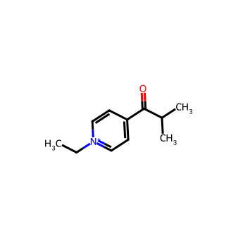 CC[n+]1ccc(C(=O)C(C)C)cc1